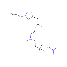 CC(CCCN(C)CCC(C)(C)CCN(C)C)CC1CCN(CCC(C)(C)C)C1